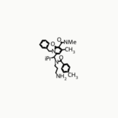 CNC(=O)c1c(C)cc(C(C(C)C)N(CCCN)C(=O)c2ccc(C)cc2)n(Cc2ccccc2)c1=O